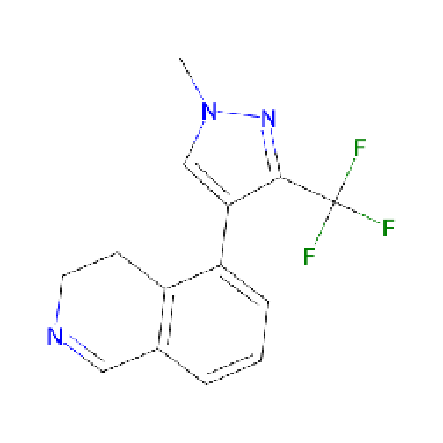 Cn1cc(-c2cccc3c2CCN=C3)c(C(F)(F)F)n1